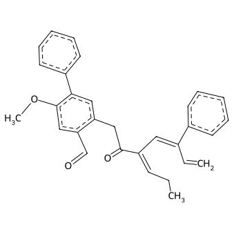 C=C/C(=C\C(=C/CC)C(=O)Cc1cc(-c2ccccc2)c(OC)cc1C=O)c1ccccc1